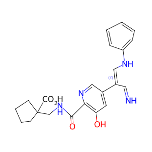 N=C/C(=C\Nc1ccccc1)c1cnc(C(=O)NCC2(C(=O)O)CCCC2)c(O)c1